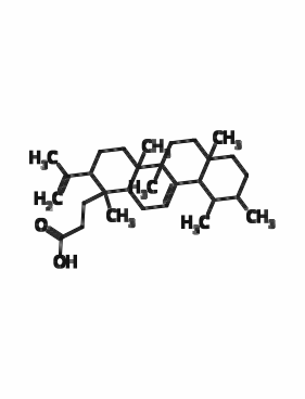 C=C(C)C1CCC2(C)C(CC=C3C4C(C)C(C)CCC4(C)CCC32C)C1(C)CCC(=O)O